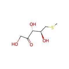 CSC[C@@H](O)[C@@H](O)C(=O)CO